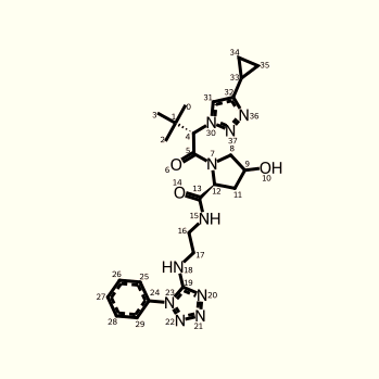 CC(C)(C)[C@@H](C(=O)N1CC(O)C[C@H]1C(=O)NCCNc1nnnn1-c1ccccc1)n1cc(C2CC2)nn1